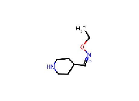 CCO/N=C\C1CCNCC1